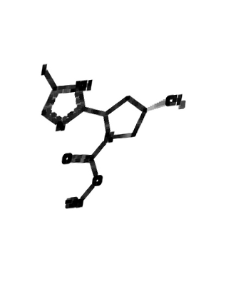 C[C@H]1CC(c2ncc(I)[nH]2)N(C(=O)OC(C)(C)C)C1